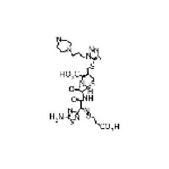 CN1CCN(CCCn2nnnc2SCC2=C(C(=O)O)N3C(=O)C(NC(=O)C(=NOCCC(=O)O)c4nsc(N)n4)[C@@H]3SC2)CC1